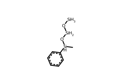 C[SiH](O[SiH2]O[SiH3])c1ccccc1